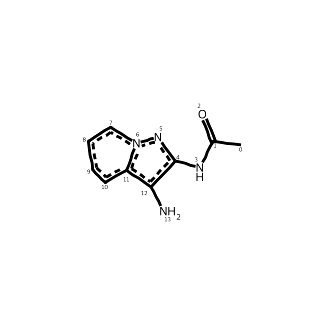 CC(=O)Nc1nn2ccccc2c1N